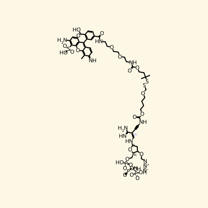 Cc1c2oc3c(S(=O)(=O)O)c(N)ccc3c(-c3cc(C(=O)NCCOCCOCCNC(=O)OCCC(C)(C)SSCOCCCCOC(=O)NC#C/C(=C/N[C@H]4CC(OCN=[N+]=[N-])[C@@H](COP(=O)(O)OP(=O)(O)OP(=O)(O)O)O4)C(=N)N)ccc3C(=O)O)c-2ccc1=N